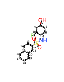 O=S(=O)(Nc1ccc(O)cc1F)c1ccc2ccccc2c1